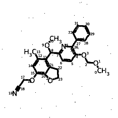 COCOc1ccc(C(OC)c2c(C)cc(OCC#N)c3c2CCO3)nc1-c1ccccc1